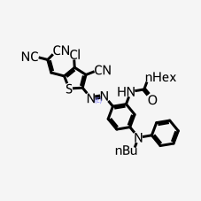 CCCCCCC(=O)Nc1cc(N(CCCC)c2ccccc2)ccc1/N=N/c1sc(C=C(C#N)C#N)c(Cl)c1C#N